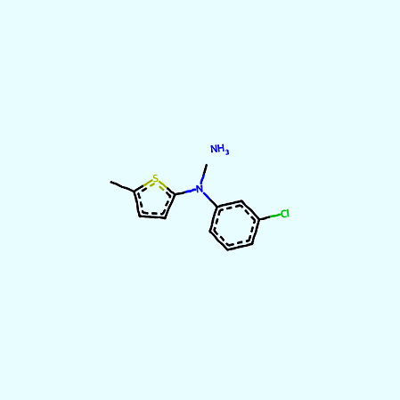 Cc1ccc(N(C)c2cccc(Cl)c2)s1.N